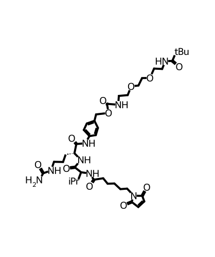 CC(C)C(NC(=O)CCCCCN1C(=O)C=CC1=O)C(=O)N[C@H](CCCNC(N)=O)C(=O)Nc1ccc(COC(=O)NCCOCCOCCNC(=O)C(C)(C)C)cc1